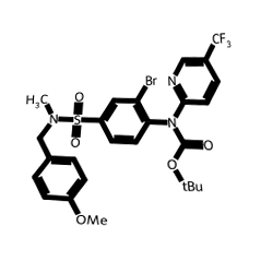 COc1ccc(CN(C)S(=O)(=O)c2ccc(N(C(=O)OC(C)(C)C)c3ccc(C(F)(F)F)cn3)c(Br)c2)cc1